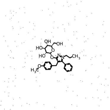 CCCn1nc(O[C@@H]2O[C@H](CO)[C@@H](O)[C@H](O)[C@H]2O)c(Cc2ccc(OC)cc2)c1-c1ccccc1